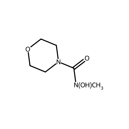 CN(O)C(=O)N1CCOCC1